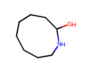 OC1CCCCCCCN1